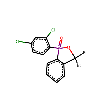 CCC1(CC)OP(=O)(c2ccc(Cl)cc2Cl)c2ccccc21